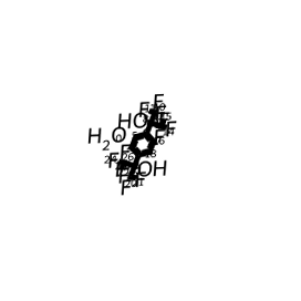 O.OC(c1ccc(C(O)(C(F)(F)F)C(F)(F)F)cc1)(C(F)(F)F)C(F)(F)F